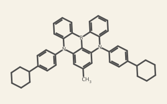 Cc1cc2c3c(c1)N(c1ccc(C4CCCCC4)cc1)c1ccccc1B3c1ccccc1N2c1ccc(C2CCCCC2)cc1